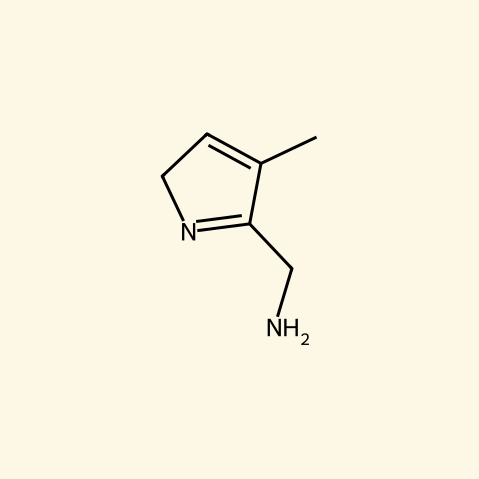 CC1=CCN=C1CN